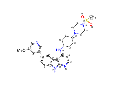 COc1cncc(-c2ccc3[nH]c4nccc(NC5CCC(N6CCN(S(C)(=O)=O)CC6)CC5)c4c3c2)c1